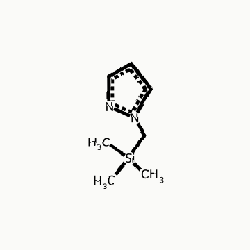 C[Si](C)(C)Cn1cccn1